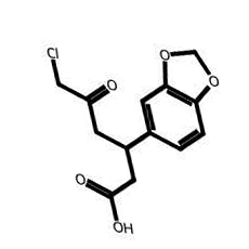 O=C(O)CC(CC(=O)CCl)c1ccc2c(c1)OCO2